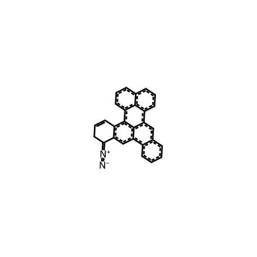 [N-]=[N+]=C1CC=Cc2c1cc1c3ccccc3cc3c4cccc5cccc(c2c13)c54